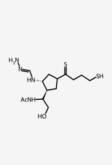 CC(=O)NC(CO)[C@@H]1CC(C(=S)CCCS)C[C@H]1NC=NN